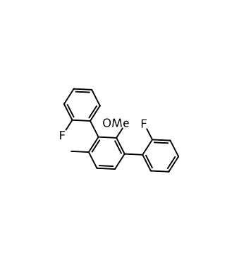 COc1c(-c2ccccc2F)ccc(C)c1-c1ccccc1F